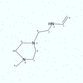 C=CNCCN1CCN(C)CC1